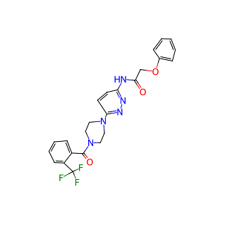 O=C(COc1ccccc1)Nc1ccc(N2CCN(C(=O)c3ccccc3C(F)(F)F)CC2)nn1